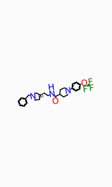 O=C(NCC[C@H]1CCN(Cc2ccccc2)C1)C1CCN(c2ccc(OC(F)(F)F)cc2)CC1